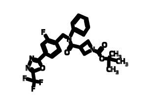 CC(C)(C)OC(=O)N1CC(C(=O)N(Cc2ccc(-c3nnc(C(F)(F)F)o3)cc2F)c2ccccc2)C1